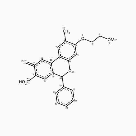 COCCOc1cc2c(cc1C)-c1cc(=O)c(C(=O)O)cn1C(c1ccccc1)O2